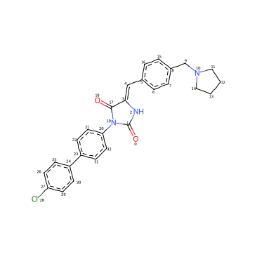 O=C1N/C(=C\c2ccc(CN3CCCC3)cc2)C(=O)N1c1ccc(-c2ccc(Cl)cc2)cc1